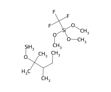 CCC(C)C(C)(C)O[SiH3].CO[Si](OC)(OC)C(F)(F)F